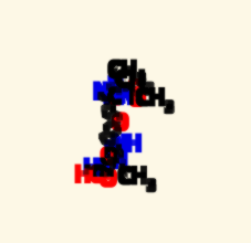 CCCN(Cc1nc2ccc3cc4c(cc3c2[nH]1)OCc1cc(-c2cnc(CN(C(=O)CNC(=O)OC)[C@@H](C)CC)[nH]2)ccc1-4)C(=O)CNC(=O)O